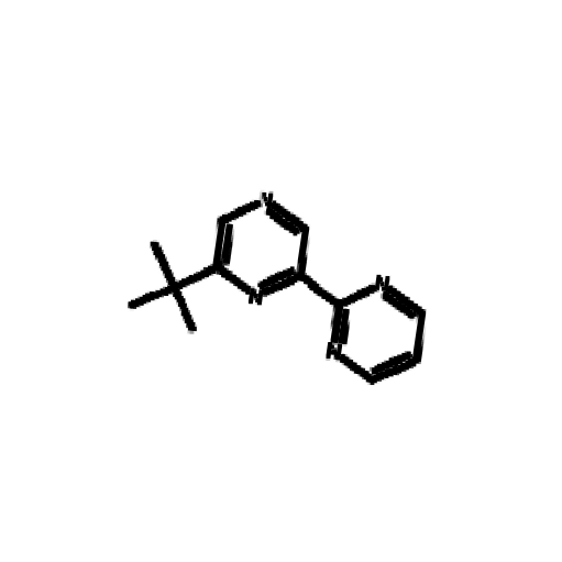 CC(C)(C)c1cncc(-c2ncccn2)n1